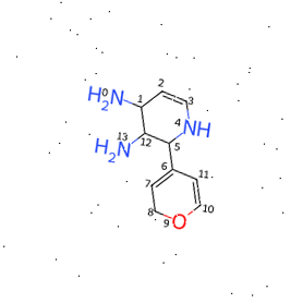 NC1C=CNC(C2=CCOC=C2)C1N